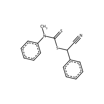 CN(C(=S)SC(C#N)c1ccccc1)c1ccccc1